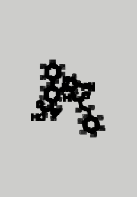 N#Cc1cnn(-c2cc(C3(C(=O)O)CC3)ccc2-c2ccccc2)c1NC(=O)CCc1ccccc1